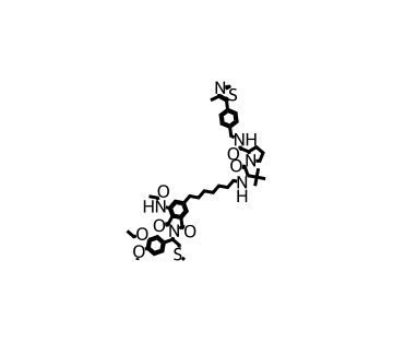 CCOc1cc(C(CSC)N2C(=O)c3cc(CCCCCCCNC(C(=O)N4CCCC4C(=O)NCc4ccc(-c5scnc5C)cc4)C(C)(C)C)cc(NC(C)=O)c3C2=O)ccc1OC